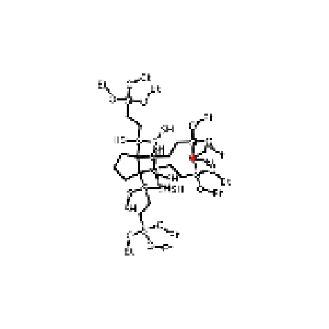 CCO[Si](CCS(S)(SS)C1(S(S)(CC[Si](OCC)(OCC)OCC)SS)CCCC1(S(S)(CC[Si](OCC)(OCC)OCC)SS)S(S)(CC[Si](OCC)(OCC)OCC)SS)(OCC)OCC